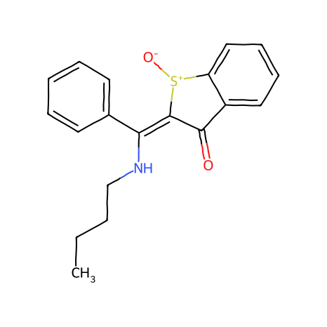 CCCCN/C(=C1\C(=O)c2ccccc2[S+]1[O-])c1ccccc1